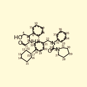 O=C(N[C@@H](CO)c1ccccc1)[C@H]1CCCC[C@@H]1c1ccc(CN(C(=O)N2CCCCC2)c2ccccc2)cc1